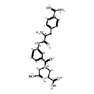 N=C(N)c1ccc(CC(N)C(=O)Nc2cccc(C(=O)N(CCC(=O)O)CC(=O)O)c2)cc1